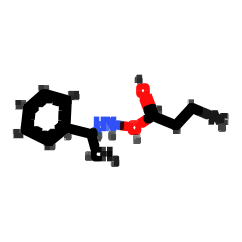 CC(=O)CCC(=O)ONC(C)c1ccccc1